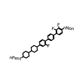 CCCCCCCCCc1ccc(-c2ccc(-c3ccc(C4CCC(C5CCC(CCCCC)CC5)CC4)cc3F)cc2)c(F)c1F